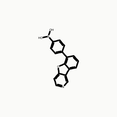 OB(O)c1ccc(-c2cccc3c2oc2ccncc23)cc1